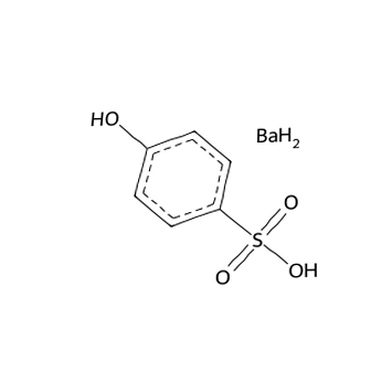 O=S(=O)(O)c1ccc(O)cc1.[BaH2]